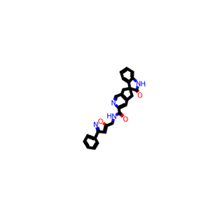 O=C(NCc1cc(-c2ccccc2)no1)c1cc2c(cn1)CC1(C2)C(=O)Nc2ccccc21